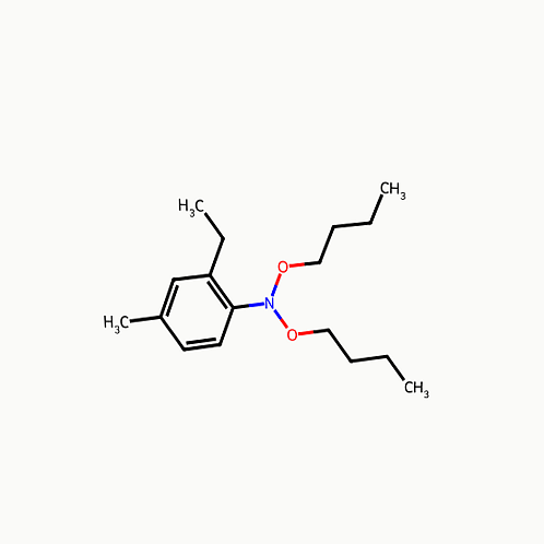 CCCCON(OCCCC)c1ccc(C)cc1CC